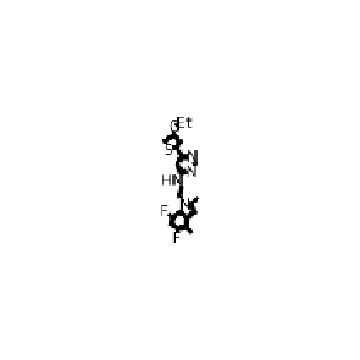 CCOc1csc(-c2cc(NCCn3c(C)cc4c(C)c(F)cc(F)c43)ncn2)c1